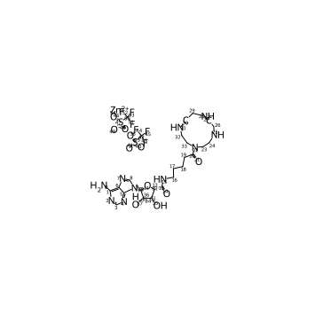 Nc1ncnc2c1ncn2[C@@H]1O[C@H](C(=O)NCCCCC(=O)N2CCNCCNCCNCC2)[C@@H](O)[C@H]1O.O=S(=O)([O-])C(F)(F)F.O=S(=O)([O-])C(F)(F)F.[Zn+2]